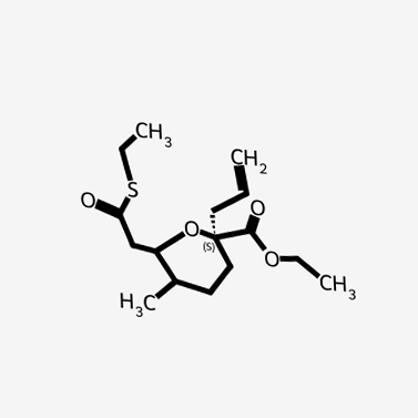 C=CC[C@]1(C(=O)OCC)CCC(C)C(CC(=O)SCC)O1